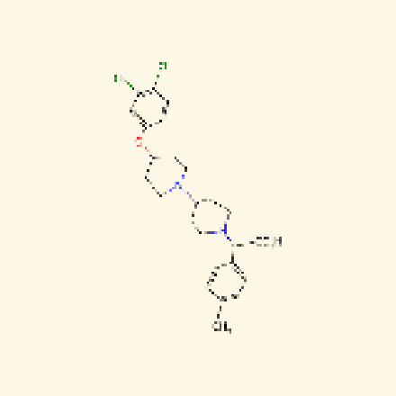 Cc1ccc(C(C(=O)O)N2CCC(N3CCC(Oc4ccc(Cl)c(Cl)c4)CC3)CC2)cc1